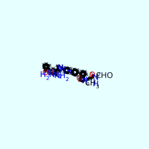 CC(CCC(=O)NC=O)N1CCOc2c1cccc2[C@H]1CC[C@@H](N2CCC(n3cc(C(/C=C(\N)c4ccccc4O)=C(N)N)cn3)CC2)CC1